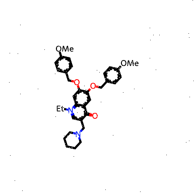 CCn1cc(CN2CCCCC2)c(=O)c2cc(OCc3ccc(OC)cc3)c(OCc3ccc(OC)cc3)cc21